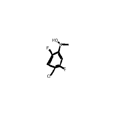 CN(O)c1cc(F)c(Cl)cc1F